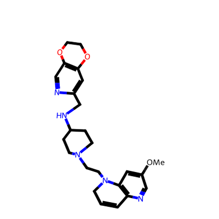 COc1cnc2c(c1)N(CCN1CCC(NCc3cc4c(cn3)OCCO4)CC1)CC=C2